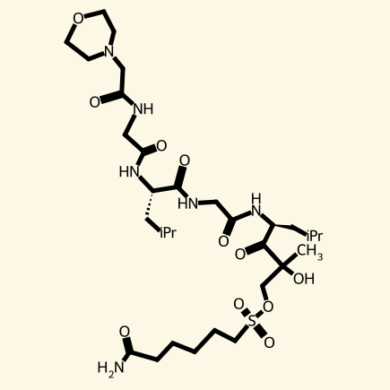 CC(C)C[C@H](NC(=O)CNC(=O)CN1CCOCC1)C(=O)NCC(=O)N[C@@H](CC(C)C)C(=O)C(C)(O)COS(=O)(=O)CCCCCC(N)=O